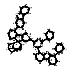 c1ccc(-c2nc(-c3ccc4c(c3)C3(c5cccc(-c6ccc7c(c6)oc6ccccc67)c5-4)C4CC5CC(C4)CC3C5)nc(-c3cccc4c3oc3c(-c5ccccc5)cccc34)n2)cc1